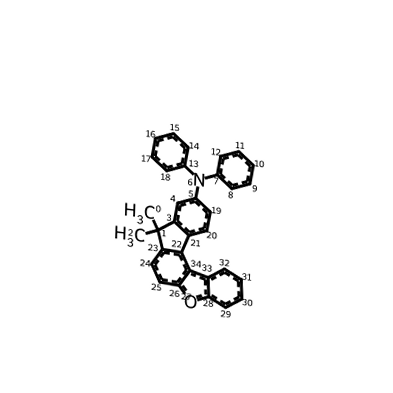 CC1(C)c2cc(N(c3ccccc3)c3ccccc3)ccc2-c2c1ccc1oc3ccccc3c21